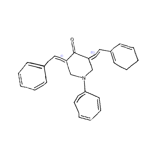 O=C1/C(=C/C2=CCCC=C2)CN(c2ccccc2)C/C1=C\c1ccccc1